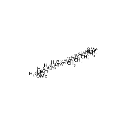 COC(C)(C)CCC/C(C)=C/C=C/C(C)=C/C=C/C(C)=C/C=C/C=C(C)/C=C/C=C(\C)CC/C=C(\C)CCCC(C)(C)OC